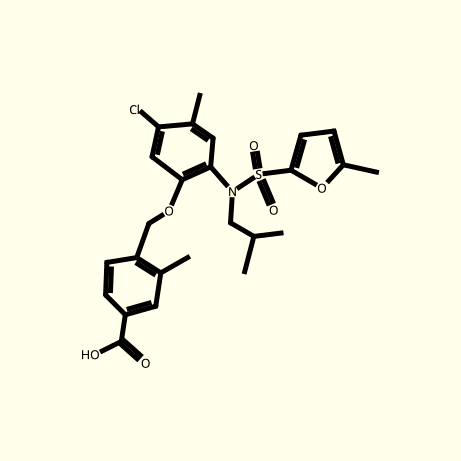 Cc1ccc(S(=O)(=O)N(CC(C)C)c2cc(C)c(Cl)cc2OCc2ccc(C(=O)O)cc2C)o1